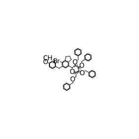 COc1ccc(Cc2cc(C3O[C@H](COCc4ccccc4)[C@@H](OCc4ccccc4)[C@H](OCc4ccccc4)[C@H]3OCc3ccccc3)c3c(c2Br)CCC3)cc1